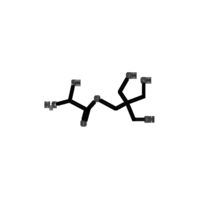 CC(S)C(=O)OCC(CO)(CO)CO